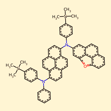 C[Si](C)(C)c1ccc(N(c2ccccc2)c2ccc3ccc4c(N(c5ccc([Si](C)(C)C)cc5)c5cc6ccc7cccc8oc(c5)c6c78)ccc5ccc2c3c54)cc1